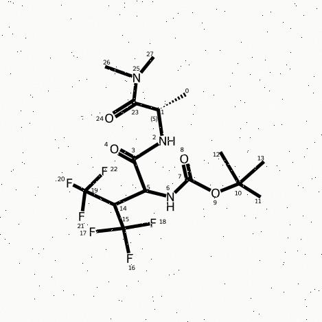 C[C@H](NC(=O)C(NC(=O)OC(C)(C)C)C(C(F)(F)F)C(F)(F)F)C(=O)N(C)C